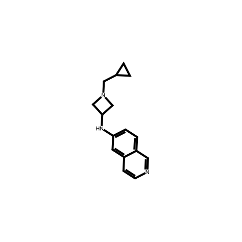 c1cc2cc(NC3CN(CC4CC4)C3)ccc2cn1